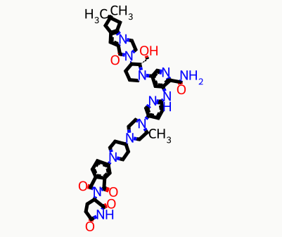 C[C@H]1CN(C2CCN(c3ccc4c(c3)C(=O)N(C3CCC(=O)NC3=O)C4=O)CC2)CCN1c1ccc(Nc2cc(N3CCC[C@H](N4CCn5c(cc6c5CC(C)(C)C6)C4=O)[C@@H]3CO)cnc2C(N)=O)nc1